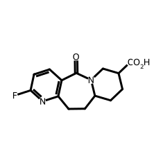 O=C(O)C1CCC2CCc3nc(F)ccc3C(=O)N2C1